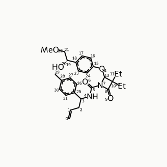 C=CCC(NC(=O)N1C(=O)C(CC)(CC)C1Oc1ccc([C@H](O)COC)cc1)c1ccc(C)cc1